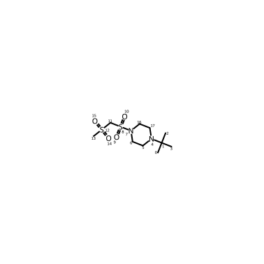 CC(C)(C)N1CCN(S(=O)(=O)CS(C)(=O)=O)CC1